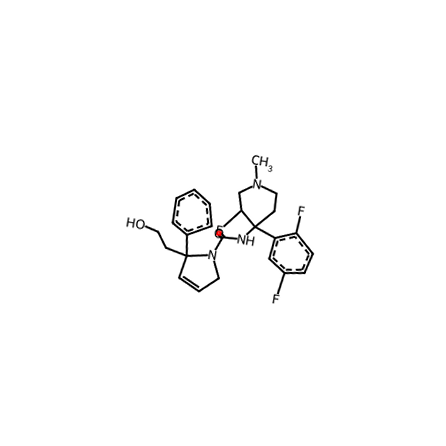 CN1CCC(NC(=O)N2CC=CC2(CCO)c2ccccc2)(c2cc(F)ccc2F)C(F)C1